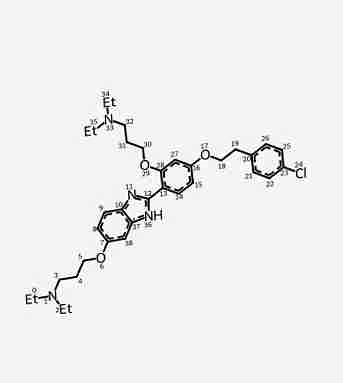 CCN(CC)CCCOc1ccc2nc(-c3ccc(OCCc4ccc(Cl)cc4)cc3OCCCN(CC)CC)[nH]c2c1